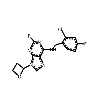 Fc1ccc(CNc2nc(F)nc3c2ncn3C2CCO2)c(Cl)c1